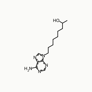 CC(O)CCCCCCCn1cnc2c(N)ncnc21